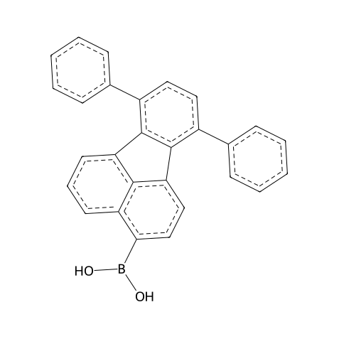 OB(O)c1ccc2c3c(cccc13)-c1c(-c3ccccc3)ccc(-c3ccccc3)c1-2